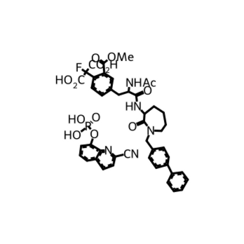 COC(=O)c1cc(CC(NC(C)=O)C(=O)NC2CCCCN(Cc3ccc(-c4ccccc4)cc3)C2=O)ccc1C(F)(C(=O)O)C(=O)O.N#Cc1ccc2cccc(OP(=O)(O)O)c2n1